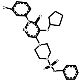 O=c1c(OC2CCCC2)c(N2CCN(S(=O)(=O)Nc3ccccc3)CC2)cnn1-c1cccc(Cl)c1